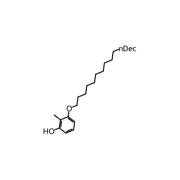 CCCCCCCCCCCCCCCCCCCCOc1cccc(O)c1C